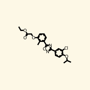 CCOC(=O)COc1cccc(-c2nc(-c3ccc(OC(C)C)c(Cl)c3)no2)c1C